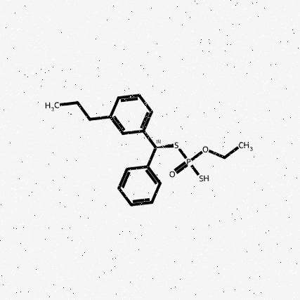 CCCc1cccc([C@@H](SP(=O)(S)OCC)c2ccccc2)c1